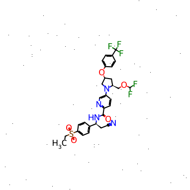 CCS(=O)(=O)c1ccc([C@H](CC#N)NC(=O)c2ccc(N3CC(Oc4ccc(C(F)(F)F)cc4)C[C@H]3COC(F)F)cn2)cc1